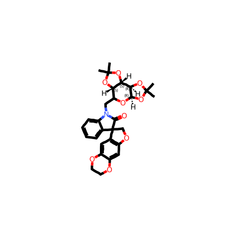 CC1(C)O[C@H]2OC(CN3C(=O)C4(COc5cc6c(cc54)OCCO6)c4ccccc43)[C@@H]3OC(C)(C)O[C@@H]3[C@H]2O1